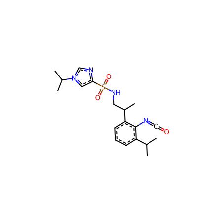 CC(C)c1cccc(C(C)CNS(=O)(=O)c2cn(C(C)C)cn2)c1N=C=O